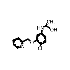 CC(O)Nc1ccc(Cl)c(OCc2ccccn2)c1